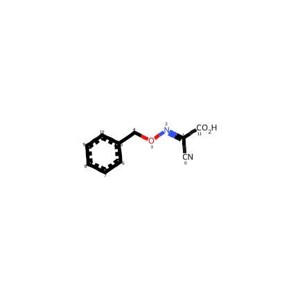 N#C/C(=N\OCc1ccccc1)C(=O)O